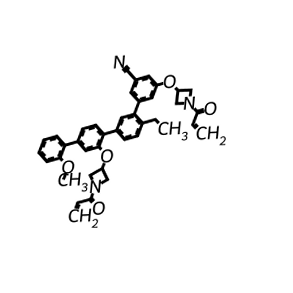 C=CC(=O)N1CC(Oc2cc(C#N)cc(-c3cc(-c4ccc(-c5ccccc5OC)cc4OC4CN(C(=O)C=C)C4)ccc3CC)c2)C1